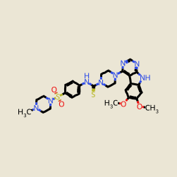 COc1cc2[nH]c3ncnc(N4CCN(C(=S)Nc5ccc(S(=O)(=O)N6CCN(C)CC6)cc5)CC4)c3c2cc1OC